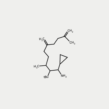 C=C(C)CCC(=C)CCC(C)C(C(N)C1CC1)C(C)(C)C